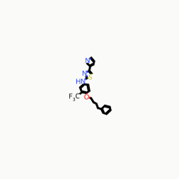 FC(F)(F)c1cc(Nc2nc(-c3cccnc3)cs2)ccc1OCCCCc1ccccc1